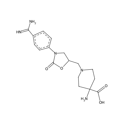 N=C(N)c1ccc(N2CC(CN3CCC(N)(C(=O)O)CC3)OC2=O)cc1